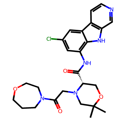 CC1(C)CN(CC(=O)N2CCCOCC2)[C@H](C(=O)Nc2cc(Cl)cc3c2[nH]c2cnccc23)CO1